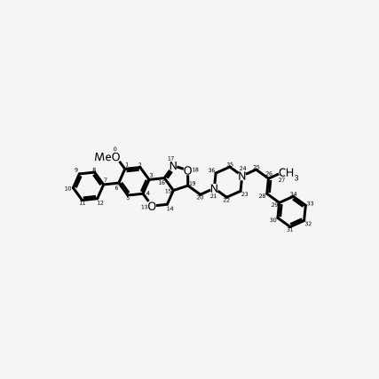 COc1cc2c(cc1-c1ccccc1)OCC1C2=NOC1CN1CCN(CC(C)=Cc2ccccc2)CC1